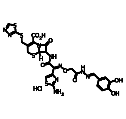 Cl.Nc1nc(C(=NOCC(=O)NN=Cc2ccc(O)c(O)c2)C(=O)NC2C(=O)N3C(C(=O)O)=C(CSc4nncs4)CS[C@@H]23)cs1